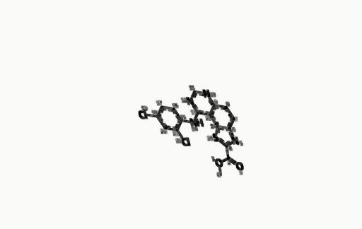 COC(=O)c1nc2ccc3ncnc(Nc4ccc(Cl)cc4Cl)c3c2s1